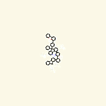 Cc1ccc2c(c1)C(c1ccccc1)(c1ccc(-c3cccc4c3oc3ccccc34)cc1)c1cc(C)cc(N(c3ccc4c(c3)-c3ccccc3C4(C)C)c3cccc4oc5ccccc5c34)c1-2